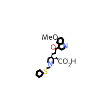 COc1ccc2nccc(C(=O)CC[C@@H]3CCN(CCSc4ccccc4)C[C@@H]3CC(=O)O)c2c1